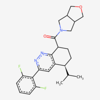 CC(C)[C@@H]1CCC(C(=O)N2CC3COCC3C2)c2nnc(-c3c(F)cccc3F)cc21